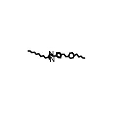 CCCCCCCCCc1cnc(-c2ccc(CCC3CCC(CCCCC)CC3)cc2)nc1